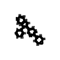 c1ccc(-n2c(-c3cnc(N4CCOCC4)nc3)cc3ccncc32)cc1